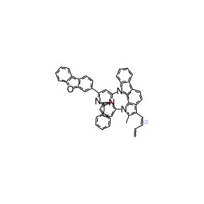 C=C/C=C\c1c(C)n(-c2ccccc2)c2c1ccc1c3ccccc3n(-c3cc(-c4ccc5c(c4)oc4ccccc45)nc(-c4ccccc4)n3)c12